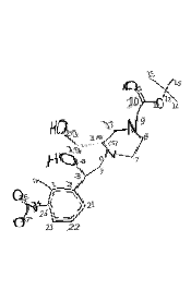 Cc1c(C(O)CN2CCN(C(=O)OC(C)(C)C)C[C@H]2CO)cccc1[N+](=O)[O-]